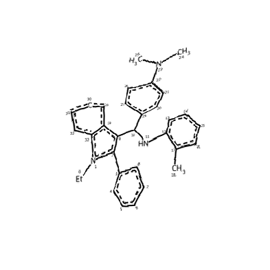 CCn1c(-c2ccccc2)c(C(Nc2ccccc2C)c2ccc(N(C)C)cc2)c2ccccc21